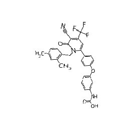 Cc1ccc(Cn2c(-c3ccc(Oc4cccc(NC(=O)O)c4)cc3)cc(C(F)(F)F)c(C#N)c2=O)c(C)c1